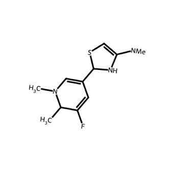 CNC1=CSC(C2=CN(C)C(C)C(F)=C2)N1